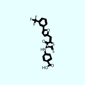 O=C(O)c1ccc(NN2C(=O)/C(=C\c3ccc(-c4cccc(C(F)(F)F)c4)o3)SC2=S)cc1